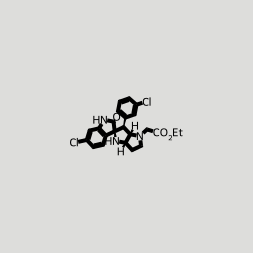 CCOC(=O)CN1CC[C@@H]2N[C@@]3(C(=O)Nc4cc(Cl)ccc43)[C@@H](c3cccc(Cl)c3)[C@@H]21